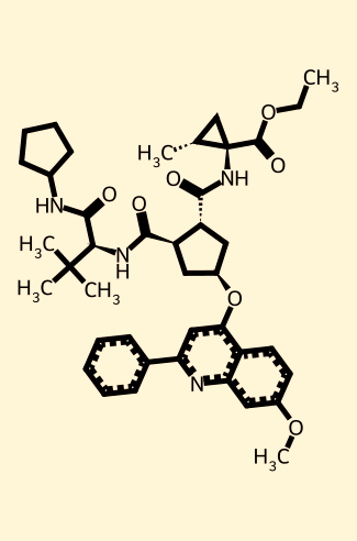 CCOC(=O)[C@@]1(NC(=O)[C@@H]2C[C@@H](Oc3cc(-c4ccccc4)nc4cc(OC)ccc34)C[C@H]2C(=O)N[C@H](C(=O)NC2CCCC2)C(C)(C)C)C[C@H]1C